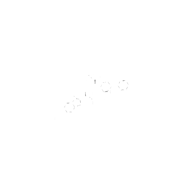 CCOc1ccc2[nH]c(C(=O)NC[C@](O)(c3cc4c(c(-c5ccc(F)cc5)n3)OC[C@]4(C)C(N)=O)C(F)(F)F)cc2c1